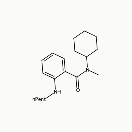 CCCCCNc1ccccc1C(=O)N(C)C1CCCCC1